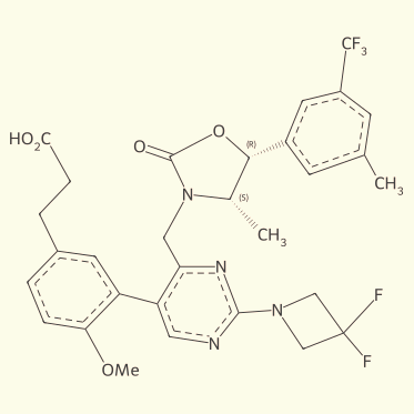 COc1ccc(CCC(=O)O)cc1-c1cnc(N2CC(F)(F)C2)nc1CN1C(=O)O[C@H](c2cc(C)cc(C(F)(F)F)c2)[C@@H]1C